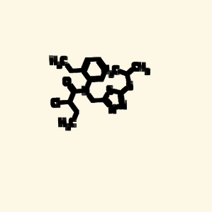 CCc1ccccc1N(Cc1nnc(SC(C)C)s1)C(=O)C(Cl)CC